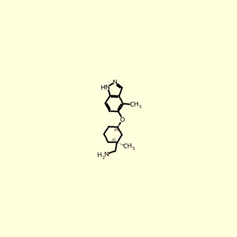 Cc1c(O[C@@H]2CCC[C@](C)(CN)C2)ccc2[nH]ncc12